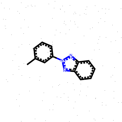 Cc1[c]ccc(-n2nc3ccccc3n2)c1